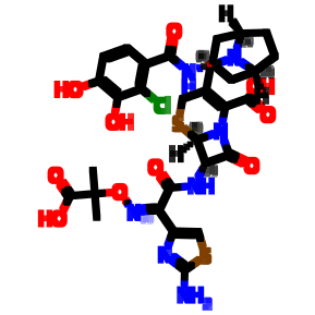 CC(C)(O/N=C(\C(=O)N[C@@H]1C(=O)N2C(C(=O)O)=C(CN3[C@@H]4CC[C@H]3C[C@@H](NC(=O)c3ccc(O)c(O)c3Cl)C4)CS[C@H]12)c1csc(N)n1)C(=O)O